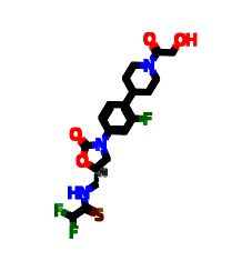 O=C(CO)N1CCC(c2ccc(N3C[C@H](CNC(=S)C(F)F)OC3=O)cc2F)CC1